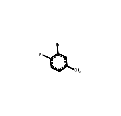 [CH2]c1ccc(CC)c(Br)c1